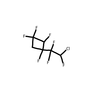 F[C](Cl)C(F)(F)C1(F)CC(F)(F)[C]1F